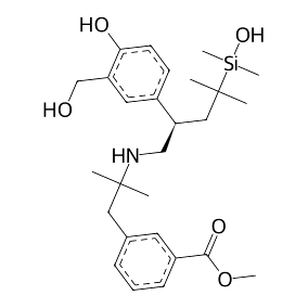 COC(=O)c1cccc(CC(C)(C)NC[C@H](CC(C)(C)[Si](C)(C)O)c2ccc(O)c(CO)c2)c1